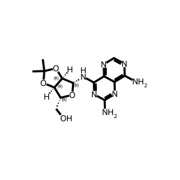 CC1(C)O[C@@H]2[C@H](O1)[C@@H](CO)O[C@H]2Nc1nc(N)nc2c(N)ncnc12